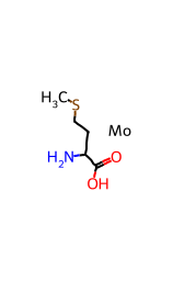 CSCCC(N)C(=O)O.[Mo]